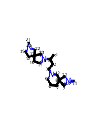 CC(CCN1CCCC2(CN(C)C2)C1)N1CCC2(CCN(C)C2)C1